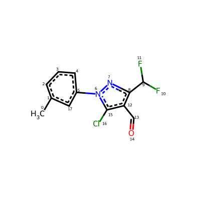 Cc1cccc(-n2nc(C(F)F)c(C=O)c2Cl)c1